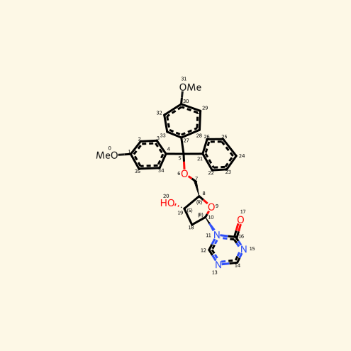 COc1ccc(C(OC[C@H]2O[C@@H](n3cncnc3=O)C[C@@H]2O)(c2ccccc2)c2ccc(OC)cc2)cc1